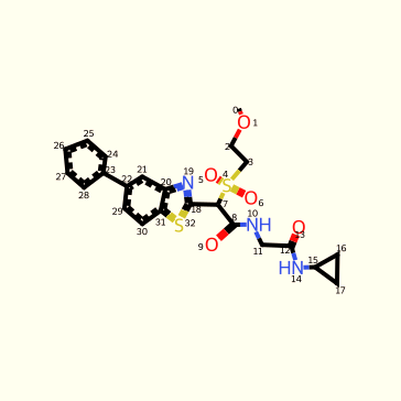 COCCS(=O)(=O)C(C(=O)NCC(=O)NC1CC1)c1nc2cc(-c3ccccc3)ccc2s1